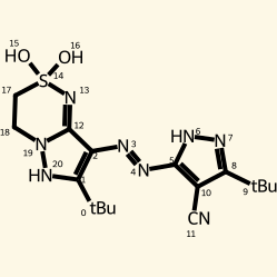 CC(C)(C)C1=C(/N=N/c2[nH]nc(C(C)(C)C)c2C#N)C2=NS(O)(O)CCN2N1